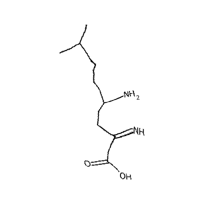 CC(C)CCC(N)CC(=N)C(=O)O